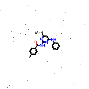 CNc1cc(Nc2ccccc2)nc(NC(=O)c2ccc(C)cc2)n1